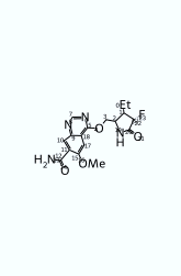 CCC1C(COc2ncnc3cc(C(N)=O)c(OC)cc23)NC(=O)[C@H]1F